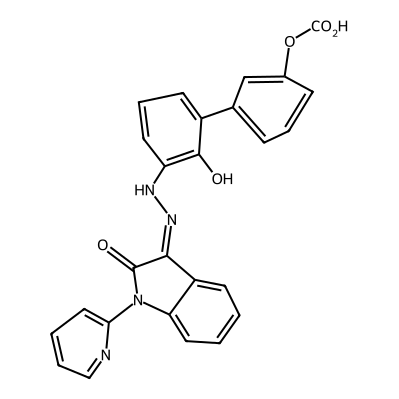 O=C(O)Oc1cccc(-c2cccc(NN=C3C(=O)N(c4ccccn4)c4ccccc43)c2O)c1